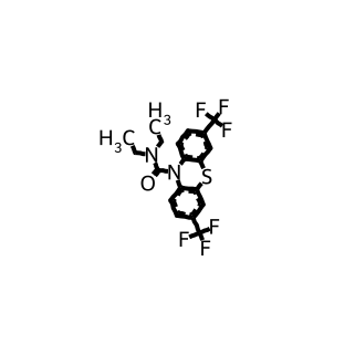 CCN(CC)C(=O)N1c2ccc(C(F)(F)F)cc2Sc2cc(C(F)(F)F)ccc21